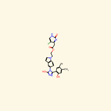 Cc1cc(O)c(-c2nnc(O)n2-c2ccc3c(ccn3CCOC(=O)Cc3nc(=O)[nH]cc3F)c2)cc1C(C)C